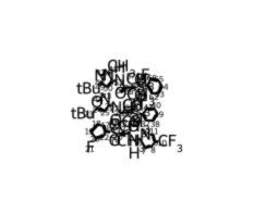 CC(C)(C(=O)Nc1ccc(C(F)(F)F)cn1)S(=O)(=O)c1cccc(F)c1.CC(C)(C)c1cc(NC(=O)C(C)(C)S(=O)(=O)c2ccccc2F)no1.Cn1nc(C(C)(C)C)cc1NC(=O)C(C)(C)S(=O)(=O)c1ccccc1F